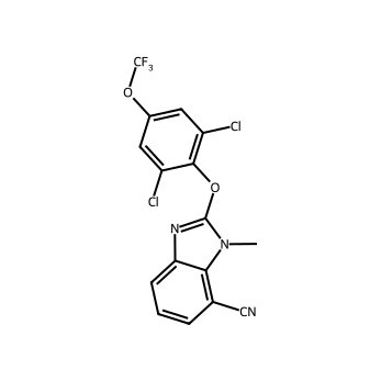 Cn1c(Oc2c(Cl)cc(OC(F)(F)F)cc2Cl)nc2cccc(C#N)c21